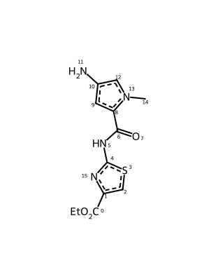 CCOC(=O)c1csc(NC(=O)c2cc(N)cn2C)n1